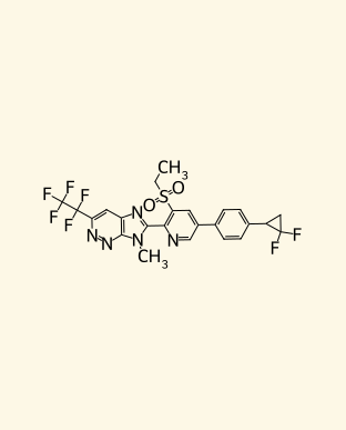 CCS(=O)(=O)c1cc(-c2ccc(C3CC3(F)F)cc2)cnc1-c1nc2cc(C(F)(F)C(F)(F)F)nnc2n1C